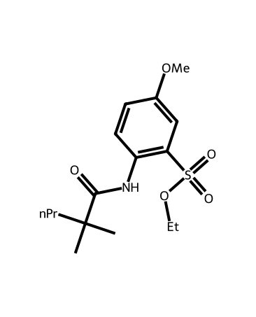 CCCC(C)(C)C(=O)Nc1ccc(OC)cc1S(=O)(=O)OCC